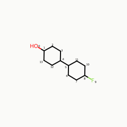 OC1CCC(C2CCC(F)CC2)CC1